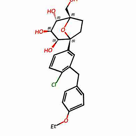 CCOc1ccc(Cc2cc([C@]34CC[C@](CO)(O3)[C@@H](O)[C@H](O)[C@@H]4O)ccc2Cl)cc1